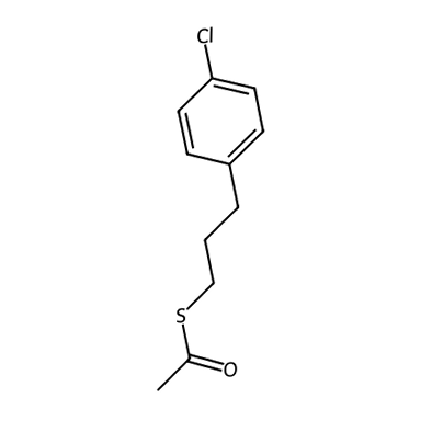 CC(=O)SCCCc1ccc(Cl)cc1